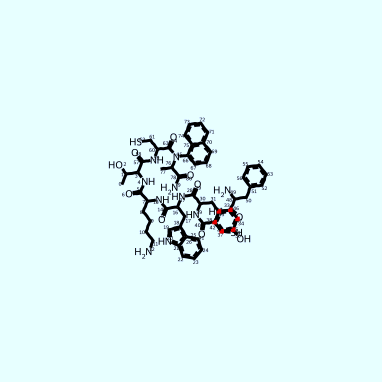 CC(O)C(NC(=O)C(CCCCN)NC(=O)C(Cc1c[nH]c2ccccc12)NC(=O)C(Cc1ccc(O)cc1)NC(=O)C(CS)NC(=O)C(N)Cc1ccccc1)C(=O)NC(CS)C(=O)N(c1cccc2ccccc12)C(C)C(N)=O